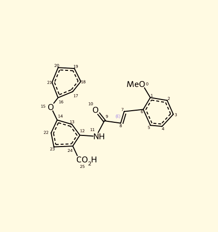 COc1ccccc1/C=C/C(=O)Nc1cc(Oc2ccccc2)ccc1C(=O)O